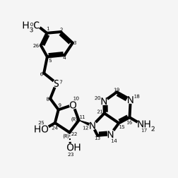 Cc1cccc(CSCC2O[C@@H](n3cnc4c(N)ncnc43)[C@H](O)C2O)c1